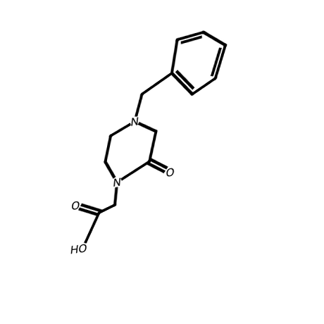 O=C(O)CN1CCN(Cc2ccccc2)CC1=O